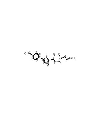 NCCN1CCC(c2ncc(-c3ccc([N+](=O)[O-])cc3)s2)CC1